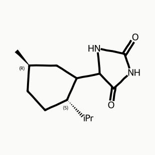 CC(C)[C@@H]1CC[C@@H](C)CC1C1NC(=O)NC1=O